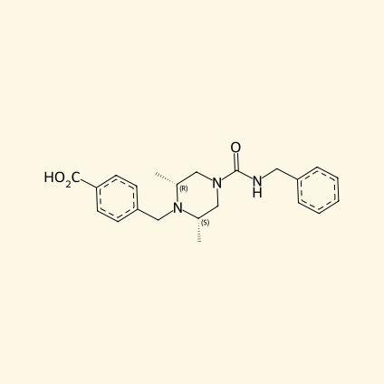 C[C@@H]1CN(C(=O)NCc2ccccc2)C[C@H](C)N1Cc1ccc(C(=O)O)cc1